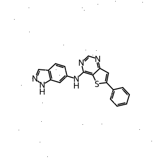 c1ccc(-c2cc3ncnc(Nc4ccc5cn[nH]c5c4)c3s2)cc1